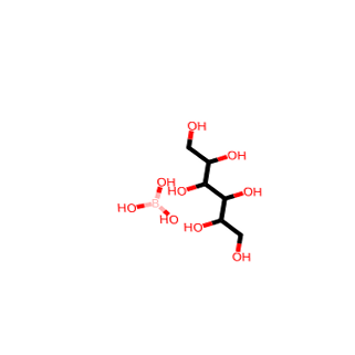 OB(O)O.OCC(O)C(O)C(O)C(O)CO